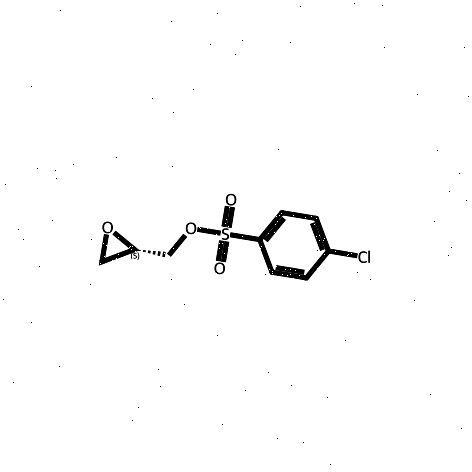 O=S(=O)(OC[C@@H]1CO1)c1ccc(Cl)cc1